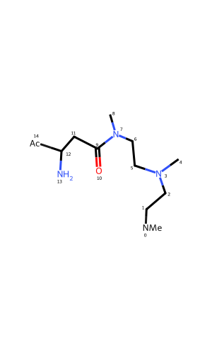 CNCCN(C)CCN(C)C(=O)CC(N)C(C)=O